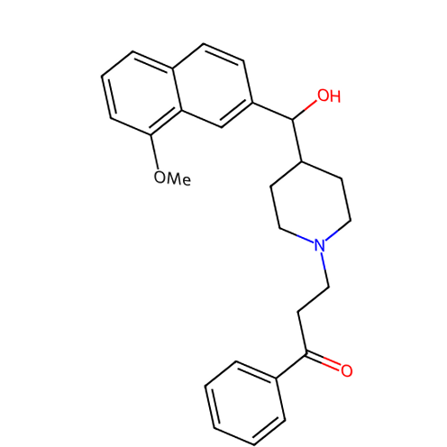 COc1cccc2ccc(C(O)C3CCN(CCC(=O)c4ccccc4)CC3)cc12